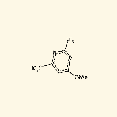 COc1cc(C(=O)O)nc(C(F)(F)F)n1